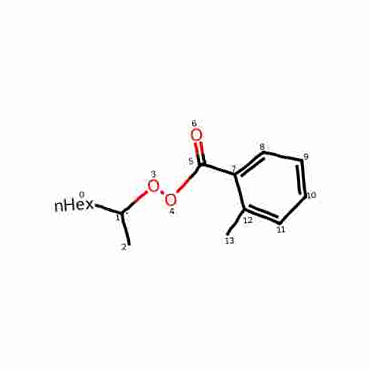 CCCCCC[C](C)OOC(=O)c1ccccc1C